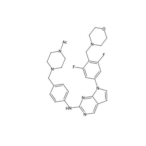 CC(=O)N1CCN(Cc2ccc(Nc3ncc4ccn(-c5cc(F)c(CN6CCOCC6)c(F)c5)c4n3)cc2)CC1